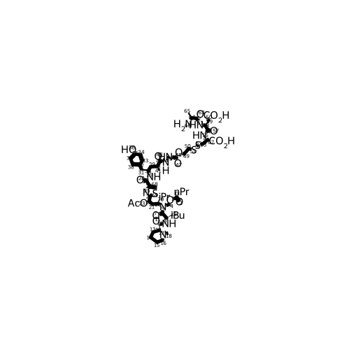 CCCC(=O)OCN(C(=O)[C@@H](NC(=O)[C@H]1CCCCN1C)C(C)CC)[C@H](C[C@@H](OC(C)=O)c1nc(C(=O)N[C@@H](Cc2ccc(O)cc2)C[C@H](C)C(=O)NNC(=O)OCCSSC[C@H](NC(=O)[C@H](CC(=O)O)NC(=O)[C@H](C)N)C(=O)O)cs1)C(C)C